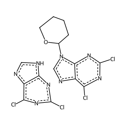 Clc1nc(Cl)c2nc[nH]c2n1.Clc1nc(Cl)c2ncn(C3CCCCO3)c2n1